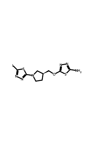 Nc1nnc(OC[C@H]2CCN(c3nnc(I)s3)C2)s1